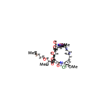 COc1cc2cc(c1Cl)N(C)C(=O)C[C@H](OC(=O)C(COCCCSSC)OC)[C@@]1(C)CC(C)(O1)[C@@H]1C[C@@](O)(NC(=O)O1)[C@H](OC)/C=C/C=C(\C)C2